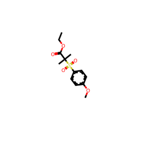 CCOC(=O)C(C)(C)S(=O)(=O)c1ccc(OC)cc1